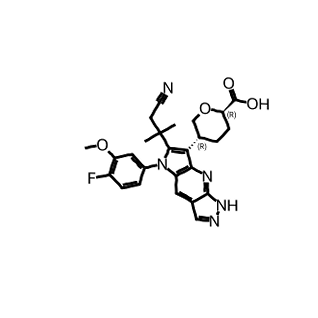 COc1cc(-n2c(C(C)(C)CC#N)c([C@H]3CC[C@H](C(=O)O)OC3)c3nc4[nH]ncc4cc32)ccc1F